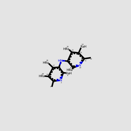 Cc1n[c]([RaH])c(Nc2[c]([RaH])nc(C)[c]([RaH])[c]2[RaH])[c]([RaH])[c]1[RaH]